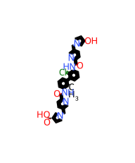 Cc1c(NC(=O)c2ccc(CN3CC[C@H](C(=O)O)C3)cn2)cccc1-c1cccc(NC(=O)c2ccc(CN3CC[C@@H](O)C3)cn2)c1Cl